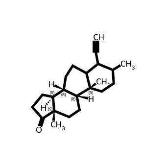 C#CC1C(C)CC[C@@]2(C)C1CC[C@@H]1[C@H]2CC[C@]2(C)C(=O)CC[C@@H]12